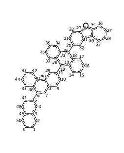 c1ccc2cc(-c3cc4ccc(-c5c6ccccc6c(-c6ccc7oc8ccccc8c7c6)c6ccccc56)cc4c4ccccc34)ccc2c1